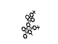 Cc1cc2c3c(c1)N(c1ccc(C(C)(C)C)cc1)c1cc(N4c5ccccc5C5(c6ccc(C(C)(C)C)cc6)CCCCC45C)ccc1B3c1ccccc1N2c1ccccc1